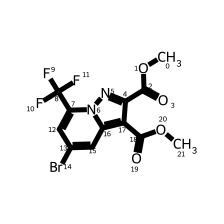 COC(=O)c1nn2c(C(F)(F)F)cc(Br)cc2c1C(=O)OC